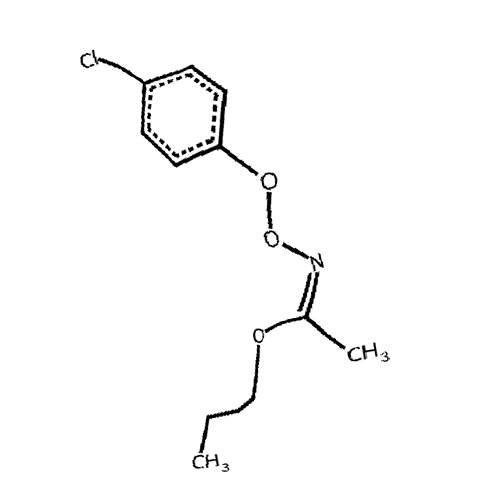 CCCOC(C)=NOOc1ccc(Cl)cc1